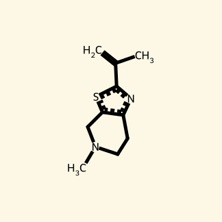 C=C(C)c1nc2c(s1)CN(C)CC2